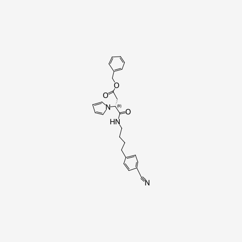 N#Cc1ccc(CCCCNC(=O)[C@@H](CC(=O)OCc2ccccc2)n2cccc2)cc1